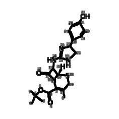 CC1=C(C(=O)OC(C)(C)C)N2C(=O)C(NC3=NC(c4ccc(O)cc4)CN3)[C@@H]2SC1